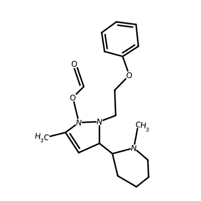 CC1=CC(C2CCCCN2C)N(CCOc2ccccc2)N1OC=O